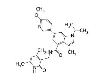 COc1ccc(-c2cc(C(=O)NCc3c(C)cc(C)[nH]c3=O)c3c(C)cn(C(C)C)c3c2)cn1